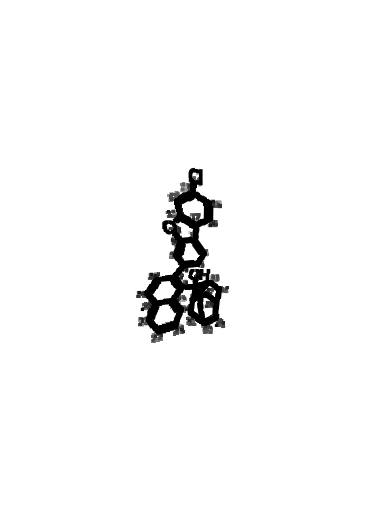 OC1(c2c(-c3ccc4c(c3)oc3cc(Cl)ccc34)ccc3ccccc23)C2CC3CC(C2)CC1C3